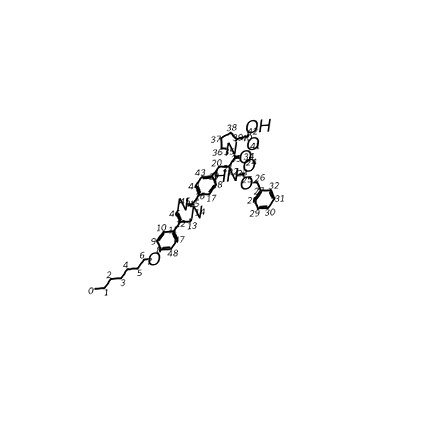 CCCCCCCOc1ccc(-c2cnc(-c3ccc(CC(NC(=O)OCc4ccccc4)C(=O)N4CCCC4C(=O)O)cc3)nc2)cc1